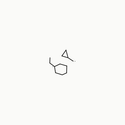 CC[C]1CCCCC1.[CH2]C1CC1